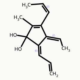 C=C/C=C1\C(=C/C)C(/C=C\C)=C(C)C1(O)O